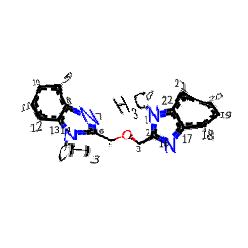 Cn1c(COCc2nc3ccccc3n2C)nc2ccccc21